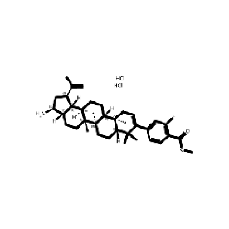 C=C(C)[C@@H]1C[C@H](N)[C@H]2CC[C@]3(C)[C@H](CC[C@@H]4[C@@]5(C)CC=C(c6ccc(C(=O)OC)c(F)c6)C(C)(C)[C@@H]5CC[C@]43C)[C@H]21.Cl.Cl